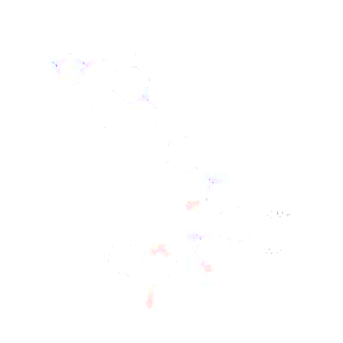 COc1cc(NC(=O)c2cc(=O)c3ccccc3o2)c(C(=O)Nc2ccc(CCN(Cc3cccc(-n4ccnc4)c3)C3CCCCC3)cc2)cc1OC